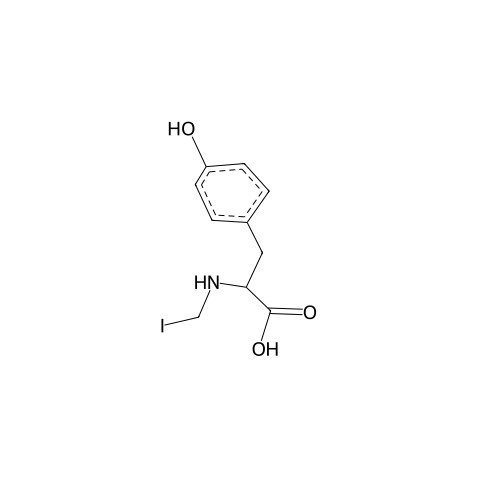 O=C(O)C(Cc1ccc(O)cc1)NCI